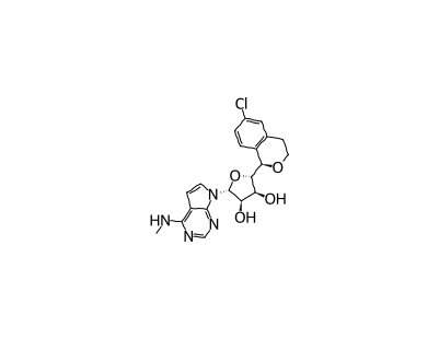 CNc1ncnc2c1ccn2[C@@H]1O[C@H]([C@@H]2OCCc3cc(Cl)ccc32)[C@@H](O)[C@H]1O